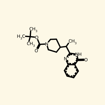 CC(c1nc2ccccc2c(=O)[nH]1)C1CCN(C(=O)OC(C)(C)C)CC1